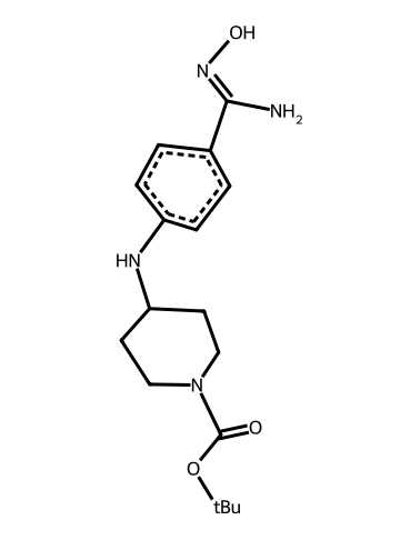 CC(C)(C)OC(=O)N1CCC(Nc2ccc(/C(N)=N/O)cc2)CC1